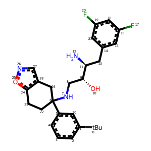 CC(C)(C)c1cccc(C2(NC[C@@H](O)[C@@H](N)Cc3cc(F)cc(F)c3)CCc3oncc3C2)c1